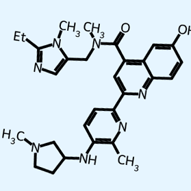 CCc1ncc(CN(C)C(=O)c2cc(-c3ccc(NC4CCN(C)C4)c(C)n3)nc3ccc(O)cc23)n1C